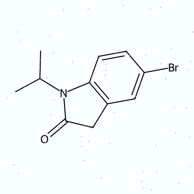 CC(C)N1C(=O)Cc2cc(Br)ccc21